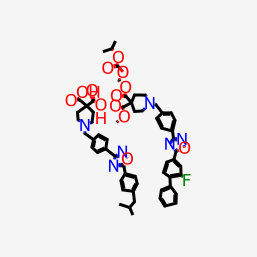 CC(C)Cc1ccc(-c2nc(-c3ccc(CN4CCC(C(=O)O)(C(=O)O)CC4)cc3)no2)cc1.COC(=O)C1(C(=O)OCOC(=O)OC(C)C)CCN(Cc2ccc(-c3noc(-c4ccc(-c5ccccc5)c(F)c4)n3)cc2)CC1